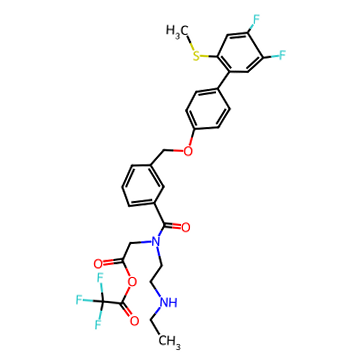 CCNCCN(CC(=O)OC(=O)C(F)(F)F)C(=O)c1cccc(COc2ccc(-c3cc(F)c(F)cc3SC)cc2)c1